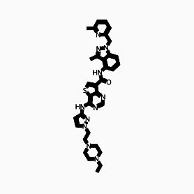 CCN1CCN(CCn2ccc(Nc3ncnc4c(C(=O)Nc5cccc6c5c(C)nn6Cc5cccc(C)n5)csc34)n2)CC1